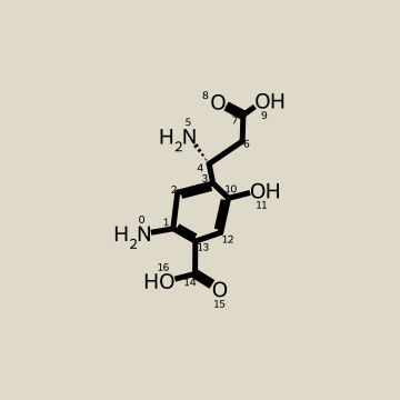 Nc1cc([C@H](N)CC(=O)O)c(O)cc1C(=O)O